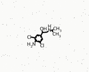 CC(C)NCC(O)c1cc(Cl)c(N)c(Cl)c1